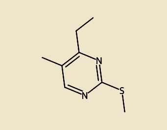 CCc1nc(SC)ncc1C